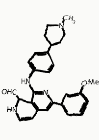 COc1cccc(-c2cc3c(c(Nc4ccc(C5CCN(C)CC5)cc4)n2)C(C=O)NC=C3)c1